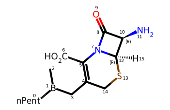 CCCCCB(C)CC1=C(C(=O)O)N2C(=O)[C@@H](N)[C@H]2SC1